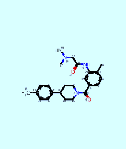 Cc1ccc(C(=O)N2CCC(c3ccc(C(F)(F)F)cc3)CC2)cc1NC(=O)CN(C)C(C)C